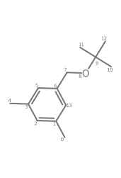 Cc1cc(C)cc(COC(C)(C)C)c1